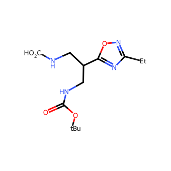 CCc1noc(C(CNC(=O)O)CNC(=O)OC(C)(C)C)n1